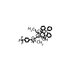 CCCC(C)(C)[C@@H](C(=O)C(C#N)=P(c1ccccc1)(c1ccccc1)c1ccccc1)N(C(=O)O)[C@H](CC)Cc1nnc(-c2ccc(C(F)(F)F)cc2)o1